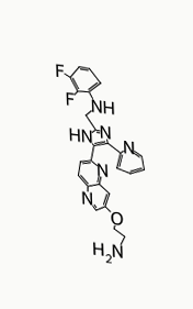 NCCOc1cnc2ccc(-c3[nH]c(CNc4cccc(F)c4F)nc3-c3ccccn3)nc2c1